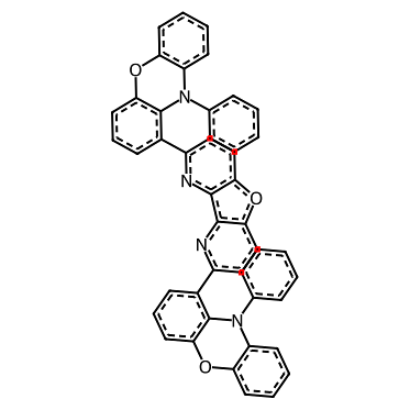 c1ccc(N2c3ccccc3Oc3cccc(-c4ccc5oc6ccc(-c7cccc8c7N(c7ccccc7)c7ccccc7O8)nc6c5n4)c32)cc1